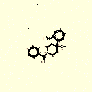 Nc1ccccc1C1(O)CCN(C(I)c2ccccc2)CC1